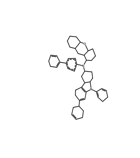 C1=CC(c2ccc(N(C3CCC4C(C3)C3=C(C=C(C5CC=CCC5)CC3)N4C3=CCCC=C3)C3CCCC4OC5CCCCC5CC43)cc2)=CCC1